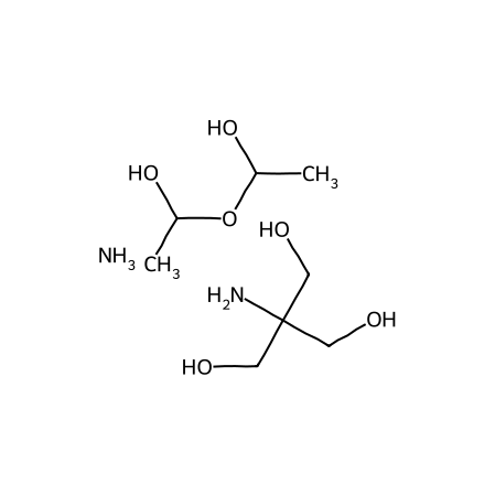 CC(O)OC(C)O.N.NC(CO)(CO)CO